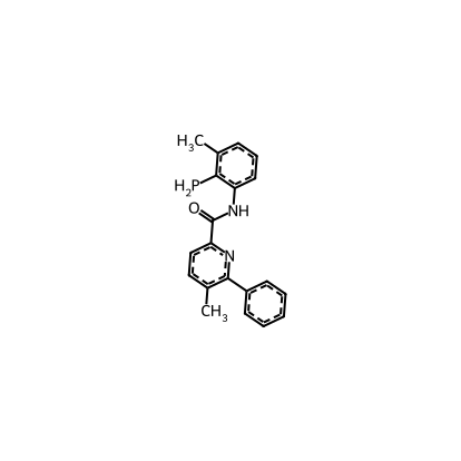 Cc1ccc(C(=O)Nc2cccc(C)c2P)nc1-c1ccccc1